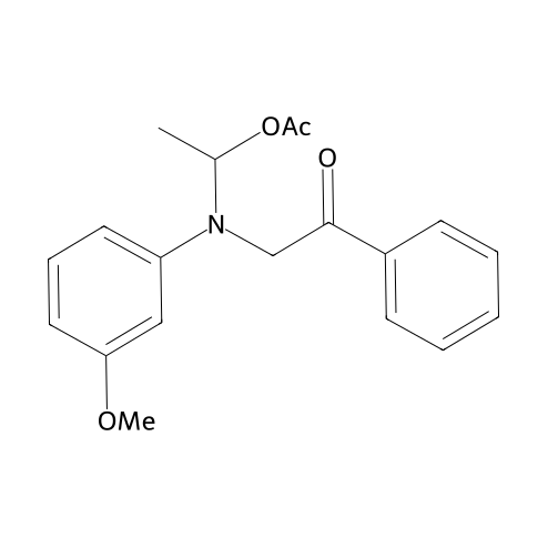 COc1cccc(N(CC(=O)c2ccccc2)C(C)OC(C)=O)c1